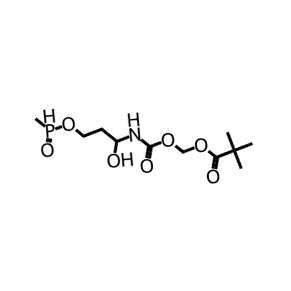 C[PH](=O)OCCC(O)NC(=O)OCOC(=O)C(C)(C)C